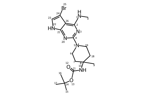 CNc1nc(N2CCC(C)(NC(=O)OC(C)(C)C)CC2)nc2[nH]cc(Br)c12